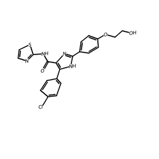 O=C(Nc1nccs1)c1nc(-c2ccc(OCCO)cc2)[nH]c1-c1ccc(Cl)cc1